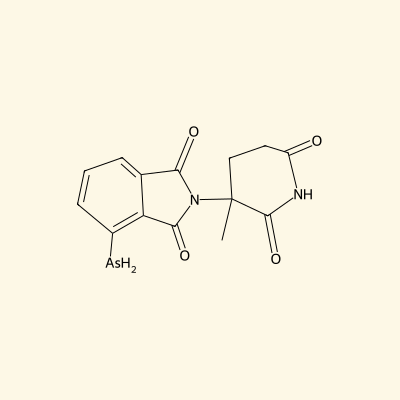 CC1(N2C(=O)c3cccc([AsH2])c3C2=O)CCC(=O)NC1=O